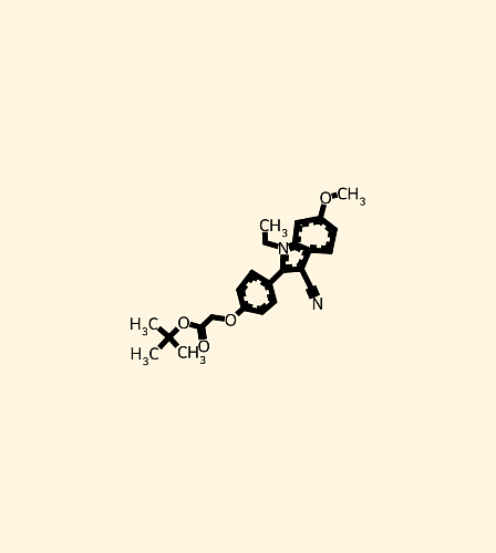 CCn1c(-c2ccc(OCC(=O)OC(C)(C)C)cc2)c(C#N)c2ccc(OC)cc21